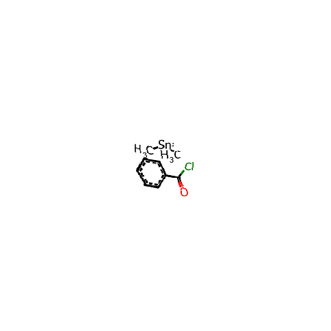 O=C(Cl)c1ccccc1.[CH3][Sn][CH3]